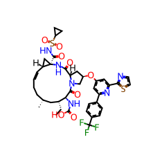 CC[C@@H]1C[C@H](C)CCC=C[C@@H]2C[C@@]2(C(=O)NS(=O)(=O)C2CC2)NC(=O)[C@@H]2C[C@@H](Oc3cc(-c4ccc(C(F)(F)F)cc4)nc(-c4nccs4)c3)CN2C(=O)[C@H]1NC(=O)O